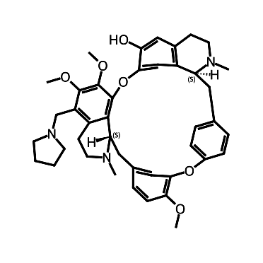 COc1ccc2cc1Oc1ccc(cc1)C[C@H]1c3cc(c(O)cc3CCN1C)Oc1c(OC)c(OC)c(CN3CCCC3)c3c1[C@H](C2)N(C)CC3